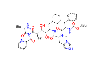 CC[C@H](C)[C@H](N)C(=O)N(C(=O)c1ccccn1)C(=O)[C@H](C(C)C)[C@@H](O)[C@H](O)[C@H](CC1CCCCC1)NC(=O)[C@H](Cc1c[nH]cn1)N(C)C(=O)[C@H](Cc1ccccc1)NC(=O)OC(C)(C)C